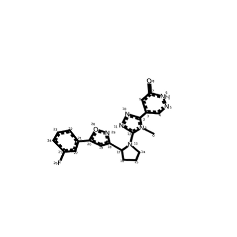 Cn1c(-c2cn[nH]c(=O)c2)nnc1N1CCCC1c1cc(-c2cccc(F)c2)on1